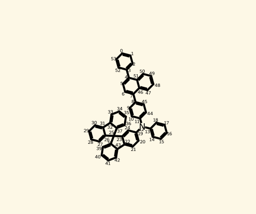 c1ccc(-c2ccc(-c3ccc(N(c4ccccc4)c4ccc5c(c4)C4(c6ccccc6-c6ccccc64)c4ccccc4-5)cc3)c3ccccc23)cc1